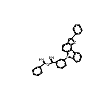 N=C(OC(=N)c1cccc(-n2c3ccccc3c3c4oc(-c5ccccc5)cc4ccc32)c1)c1ccccc1